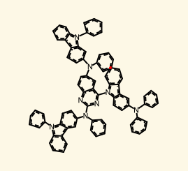 c1ccc(N(c2ccccc2)c2ccc3c(c2)c2ccccc2n3-c2nc(N(c3ccccc3)c3ccc4c(c3)c3ccccc3n4-c3ccccc3)nc3ccc(N(c4ccccc4)c4ccc5c6ccccc6n(-c6ccccc6)c5c4)cc23)cc1